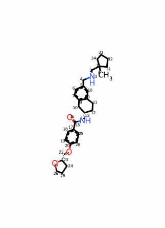 CC1(CNCc2ccc3c(c2)CC[C@H](NC(=O)c2ccc(OC[C@@H]4CCCO4)cc2)C3)CCCC1